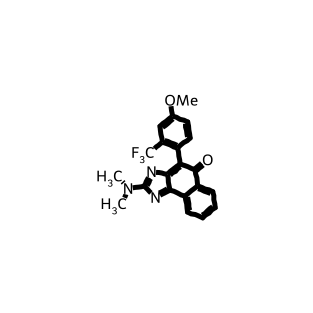 COc1ccc(C2=C3N=C(N(C)C)N=C3c3ccccc3C2=O)c(C(F)(F)F)c1